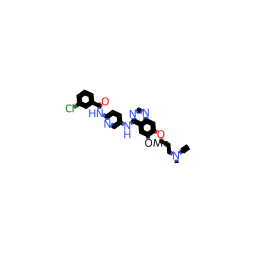 C#CN(C)CCCOc1cc2ncnc(Nc3ccc(NC(=O)c4cccc(Cl)c4)nc3)c2cc1OC